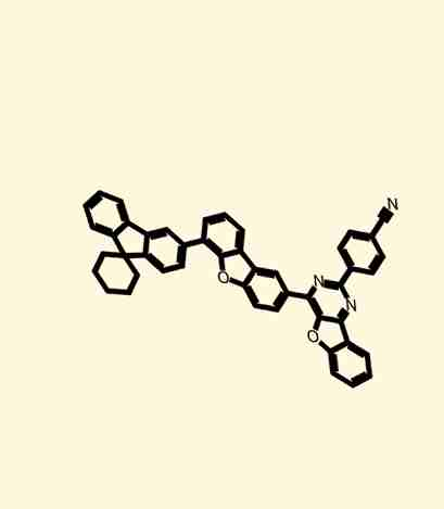 N#Cc1ccc(-c2nc(-c3ccc4oc5c(-c6ccc7c(c6)-c6ccccc6C76CCCCC6)cccc5c4c3)c3oc4ccccc4c3n2)cc1